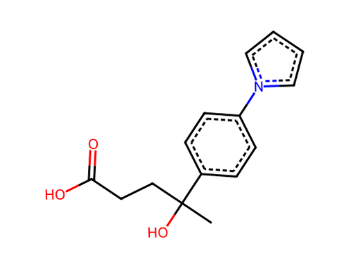 CC(O)(CCC(=O)O)c1ccc(-n2cccc2)cc1